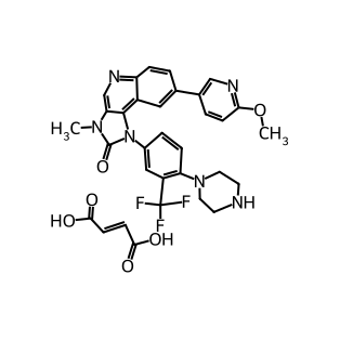 COc1ccc(-c2ccc3ncc4c(c3c2)n(-c2ccc(N3CCNCC3)c(C(F)(F)F)c2)c(=O)n4C)cn1.O=C(O)C=CC(=O)O